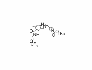 Cc1cc2nn(CC3CN(C(=O)OC(C)(C)C)C3)cc2cc1C(=O)NCCOC(F)(F)F